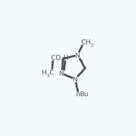 CC(=O)O.CCCCN1CN(C)C=N1